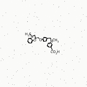 CN(Cc1ccc(OC[C@@H]2CN(C)c3ccccc3O2)cc1)c1cccc(CC(=O)O)c1